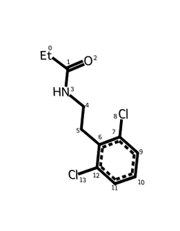 CCC(=O)NCCc1c(Cl)cccc1Cl